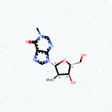 CO[C@@H]1[C@H](O)[C@@H](CO)O[C@H]1n1cnc2c(=O)n(C)cnc21